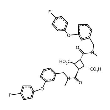 CN(Cc1cccc(Oc2ccc(F)cc2)c1)C(=O)[C@H]1[C@H](C(=O)O)[C@H](C(=O)N(C)Cc2cccc(Oc3ccc(F)cc3)c2)[C@H]1C(=O)O